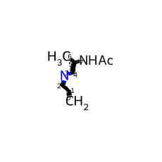 C=C/C=N\C=C(/C)NC(C)=O